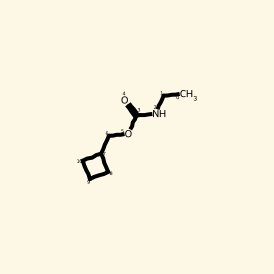 CCNC(=O)OCC1CCC1